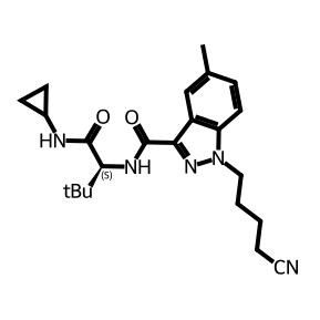 Cc1ccc2c(c1)c(C(=O)N[C@H](C(=O)NC1CC1)C(C)(C)C)nn2CCCCC#N